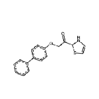 O=C(COc1ccc(-c2ccccc2)cc1)C1NC=CS1